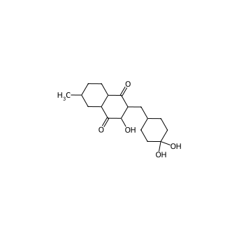 CC1CCC2C(=O)C(CC3CCC(O)(O)CC3)C(O)C(=O)C2C1